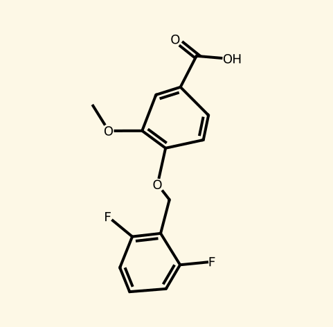 COc1cc(C(=O)O)ccc1OCc1c(F)cccc1F